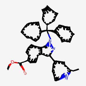 COC(=O)c1ccc2c(c1)c(-c1ccnc(C)c1)nn2C(c1ccccc1)(c1ccccc1)c1ccccc1